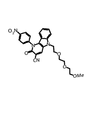 COCCOCCOCCn1c2ccccc2c2c1cc(C#N)c(=O)n2-c1ccc([N+](=O)[O-])cc1